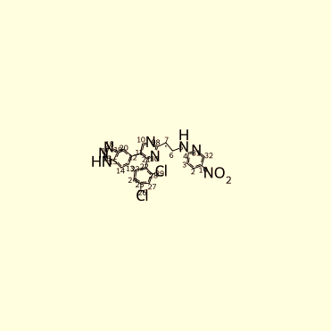 O=[N+]([O-])c1ccc(NC[CH]c2ncc(-c3ccc4[nH]nnc4c3)c(-c3ccc(Cl)cc3Cl)n2)nc1